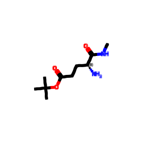 CNC(=O)[C@H](N)CCC(=O)OC(C)(C)C